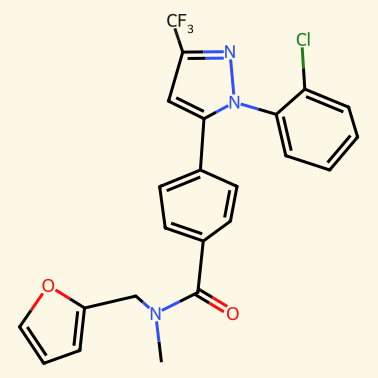 CN(Cc1ccco1)C(=O)c1ccc(-c2cc(C(F)(F)F)nn2-c2ccccc2Cl)cc1